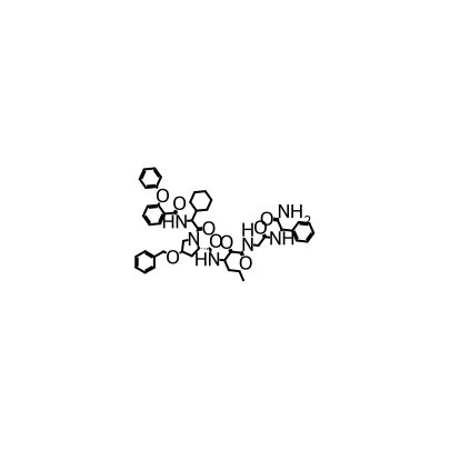 CCCC(NC(=O)[C@@H]1C[C@@H](OCc2ccccc2)CN1C(=O)C(NC(=O)c1ccccc1Oc1ccccc1)C1CCCCC1)C(=O)C(=O)NCC(=O)NC(C(N)=O)c1ccccc1